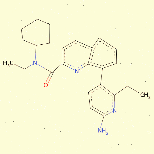 CCc1nc(N)ccc1-c1cccc2ccc(C(=O)N(CC)C3CCCCC3)nc12